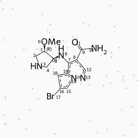 CO[C@@H]1CNC[C@@H]1Nc1c(C(N)=O)cnn2cc(Br)cc12